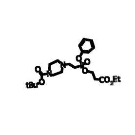 CCOC(=O)CCOP(=O)(CCN1CCN(C(=O)OC(C)(C)C)CC1)Oc1ccccc1